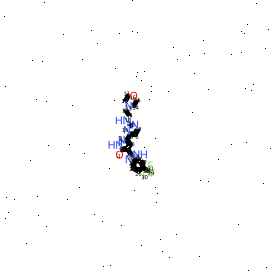 O=c1[nH]nc(-c2ccnc(NCCN3CCOCC3)n2)cc1-c1nc2ccc(C(F)(F)F)cc2[nH]1